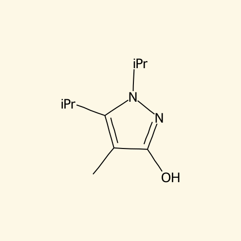 Cc1c(O)nn(C(C)C)c1C(C)C